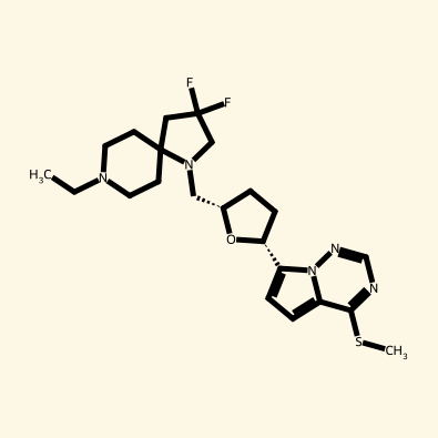 CCN1CCC2(CC1)CC(F)(F)CN2C[C@@H]1CC[C@H](c2ccc3c(SC)ncnn23)O1